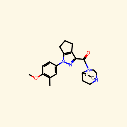 COc1ccc(-n2nc(C(=O)N3CCN4CCC3CC4)c3c2CCC3)cc1C